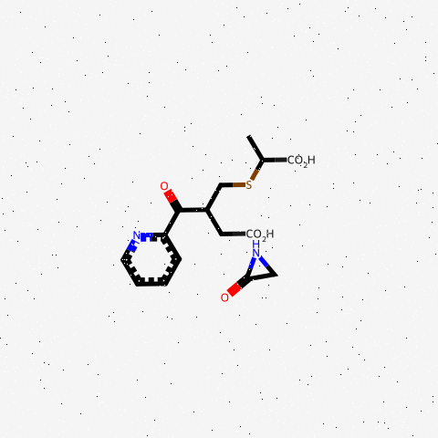 CC(SCC(CC(=O)O)C(=O)c1ccccn1)C(=O)O.O=C1CN1